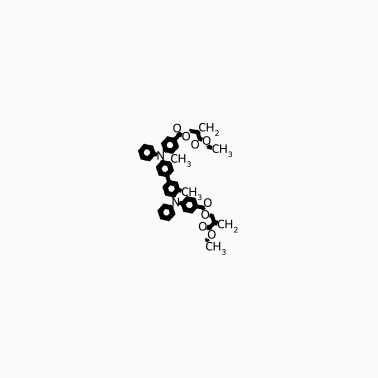 C=C(COC(=O)c1ccc(N(c2ccccc2)c2ccc(-c3ccc(N(c4ccccc4)c4ccc(C(=O)OCC(=C)C(=O)OCC)cc4)c(C)c3)cc2C)cc1)C(=O)OCC